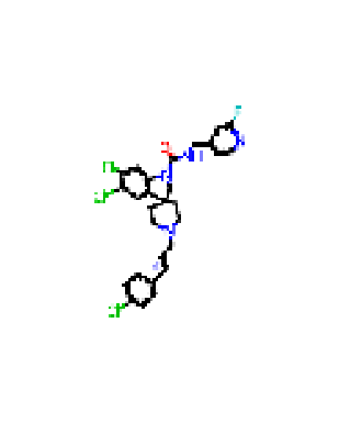 O=C(NCc1ccnc(F)c1)N1CC2(CCN(C/C=C/c3ccc(Cl)cc3)CC2)c2cc(Cl)c(Cl)cc21